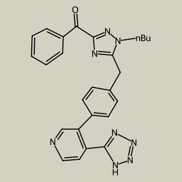 CCCCn1nc(C(=O)c2ccccc2)nc1Cc1ccc(-c2cnccc2-c2nnn[nH]2)cc1